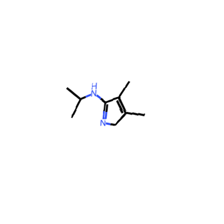 CC1=C(C)C(NC(C)C)=NC1